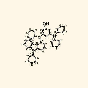 Oc1cc(N(c2ccccc2)c2ccccc2)cc(N(c2ccccc2)c2cccc3c2c2ccccc2n3-c2ccccc2)c1